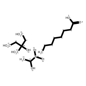 CCCCCCCC(=O)O.CCN(CC)C(C)O.O=C(O)CC(O)(CC(=O)O)C(=O)O